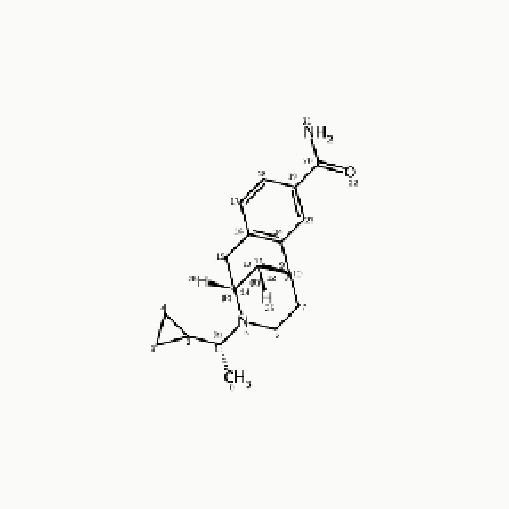 C[C@H](C1CC1)N1CCC23CCCC[C@H]2[C@H]1Cc1ccc(C(N)=O)cc13